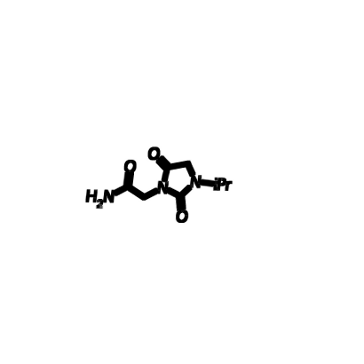 CC(C)N1CC(=O)N(CC(N)=O)C1=O